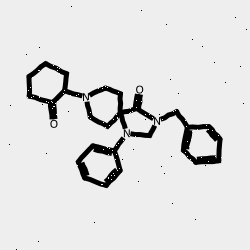 O=C1CCCCC1N1CCC2(CC1)C(=O)N(Cc1ccccc1)CN2c1ccccc1